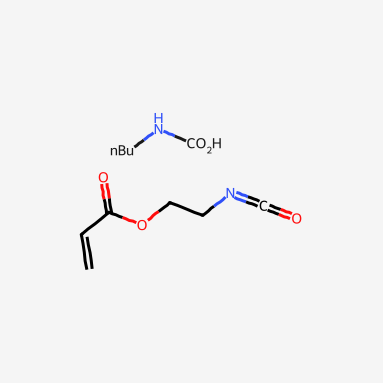 C=CC(=O)OCCN=C=O.CCCCNC(=O)O